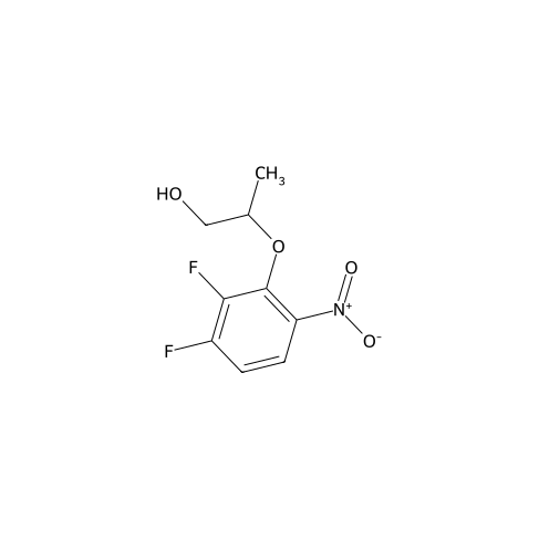 CC(CO)Oc1c([N+](=O)[O-])ccc(F)c1F